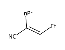 CC/C=C(/C#N)CCC